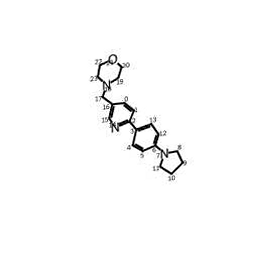 c1cc(-c2ccc(N3CCCC3)cc2)ncc1CN1CCOCC1